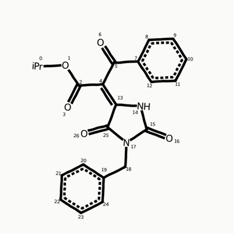 CC(C)OC(=O)C(C(=O)c1ccccc1)=C1NC(=O)N(Cc2ccccc2)C1=O